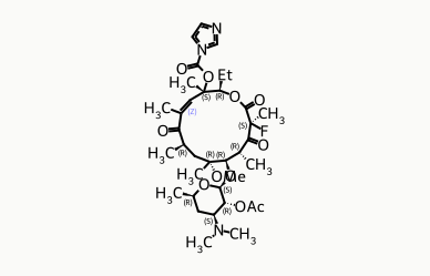 CC[C@H]1OC(=O)[C@@](C)(F)C(=O)[C@H](C)[C@@H](O[C@@H]2O[C@H](C)C[C@H](N(C)C)[C@H]2OC(C)=O)[C@](C)(OC)C[C@@H](C)C(=O)/C(C)=C\[C@]1(C)OC(=O)n1ccnc1